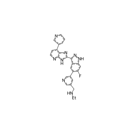 CCNCc1cncc(-c2cc3c(-c4nc5c(-c6cccnc6)ccnc5[nH]4)n[nH]c3cc2F)c1